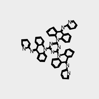 c1ccc(N=c2c3ccccc3n(-c3nc(-n4c5ccccc5c(=Nc5ccccn5)c5ccccc54)nc(-n4c5ccccc5c(=Nc5ccccn5)c5ccccc54)n3)c3ccccc23)nc1